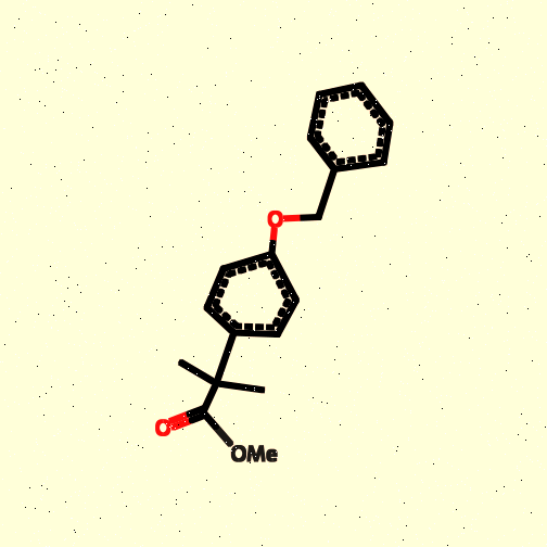 COC(=O)C(C)(C)c1ccc(OCc2ccccc2)cc1